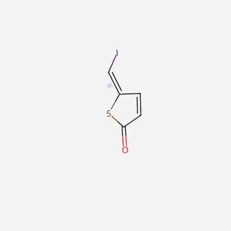 O=C1C=C/C(=C\I)S1